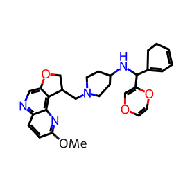 COc1ccc2ncc3c(c2n1)C(CN1CCC(NC(C2=CC=CCC2)C2=COC=CO2)CC1)CO3